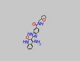 Nc1c(-c2nc3ccc(C(=O)NCC4CCCO4)cc3[nH]2)c(=O)[nH]c2ccccc12